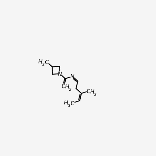 C=C(/N=C\C/C(C)=C\C)N1CC(C)C1